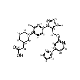 Cc1nc(-c2nnn(C)c2COc2cc(-n3cccn3)ccn2)ccc1N1CCCC(CC(=O)O)C1